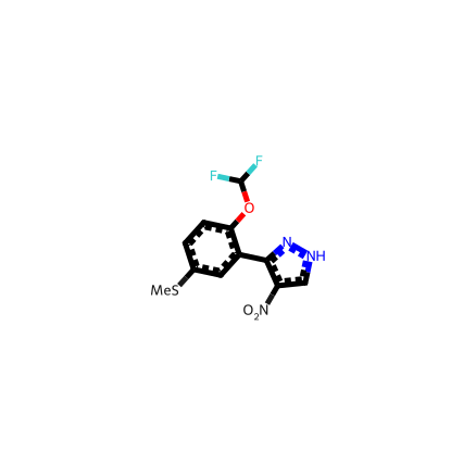 CSc1ccc(OC(F)F)c(-c2n[nH]cc2[N+](=O)[O-])c1